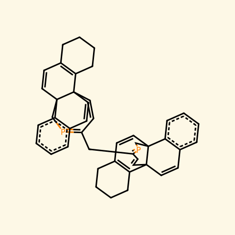 C1=CC23C=Cc4ccccc4C2(C=CC2=C3CCCC2)CP=C1CC1=PCC23C=CC4=C(CCCC4)C2(C=C1)C=Cc1ccccc13